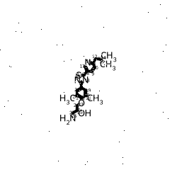 Cc1cc(-c2noc(-c3ccc(CC(C)C)nc3)n2)cc(C)c1OCC(O)CN